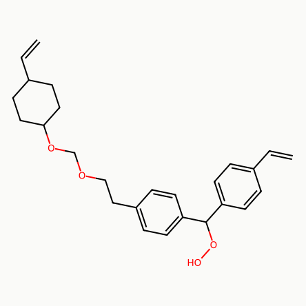 C=Cc1ccc(C(OO)c2ccc(CCOCOC3CCC(C=C)CC3)cc2)cc1